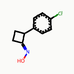 ON=C1CCC1c1ccc(Cl)cc1